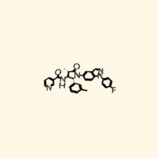 Cc1cccc([C@@H]2[C@@H](NC(=O)c3cccnc3)[C@H](C)C(=O)N2c2ccc3c(cnn3-c3ccc(F)cc3)c2)c1